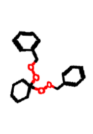 c1ccc(COOC2(OOCc3ccccc3)CCCCC2)cc1